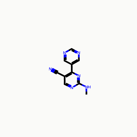 CNc1ncc(C#N)c(-c2cncnc2)n1